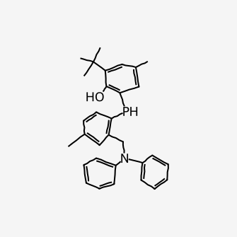 Cc1ccc(Pc2cc(C)cc(C(C)(C)C)c2O)c(CN(c2ccccc2)c2ccccc2)c1